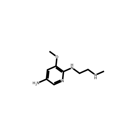 CNCCNc1ncc(N)cc1OC